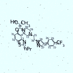 CCCc1nc2cc(OC([C@@H](C)O)N3CCN(CCn4cc(-c5ccc(C(F)(F)F)cc5)cn4)CC3)ccc2s1